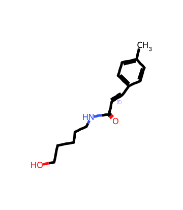 Cc1ccc(/C=C/C(=O)NCCCCCO)cc1